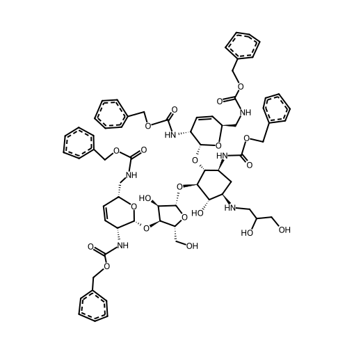 O=C(NC[C@H]1C=C[C@@H](NC(=O)OCc2ccccc2)[C@@H](O[C@H]2[C@@H](O)[C@H](O[C@@H]3[C@@H](O)[C@H](NCC(O)CO)C[C@H](NC(=O)OCc4ccccc4)[C@H]3O[C@H]3O[C@H](CNC(=O)OCc4ccccc4)C=C[C@H]3NC(=O)OCc3ccccc3)O[C@@H]2CO)O1)OCc1ccccc1